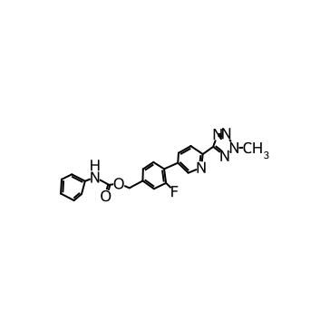 Cn1nnc(-c2ccc(-c3ccc(COC(=O)Nc4ccccc4)cc3F)cn2)n1